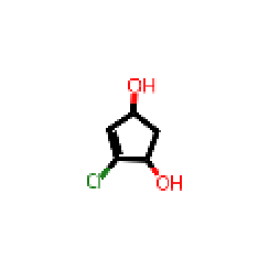 OC1C=C(Cl)C(O)C1